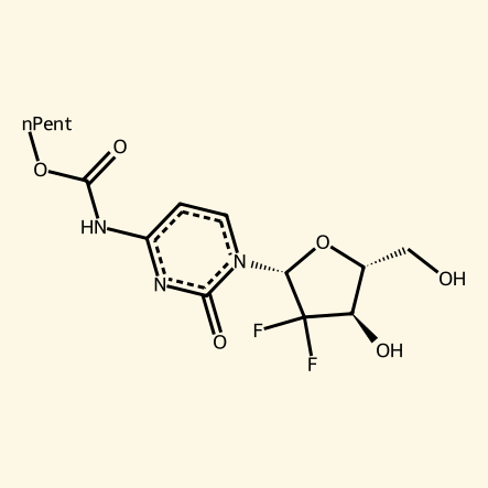 CCCCCOC(=O)Nc1ccn([C@@H]2O[C@H](CO)[C@@H](O)C2(F)F)c(=O)n1